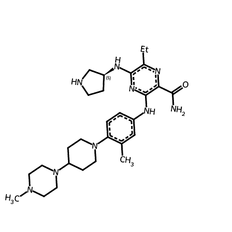 CCc1nc(C(N)=O)c(Nc2ccc(N3CCC(N4CCN(C)CC4)CC3)c(C)c2)nc1N[C@H]1CCNC1